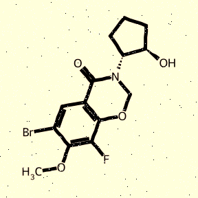 COc1c(Br)cc2c(c1F)OCN([C@@H]1CCC[C@H]1O)C2=O